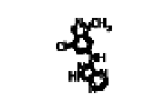 Cn1ncc2c(Cl)cc(Nc3n[nH]c4nccnc34)cc21